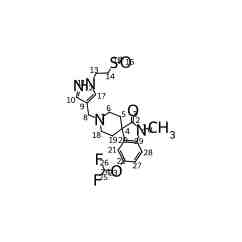 CN1C(=O)C2(CCN(Cc3cnn(CC[S+]=O)c3)CC2)c2cc(OC(F)F)ccc21